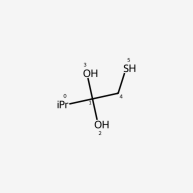 CC(C)C(O)(O)CS